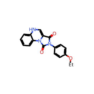 CCOc1ccc(-n2c(=O)c3c[nH]c4ccccc4n-3c2=O)cc1